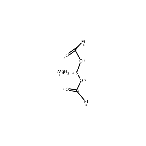 CCC(=O)OSOC(=O)CC.[MgH2]